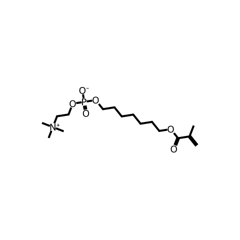 C=C(C)C(=O)OCCCCCCCOP(=O)([O-])OCC[N+](C)(C)C